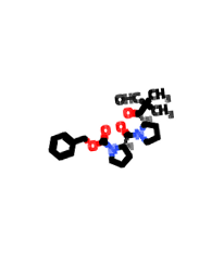 CC(C)(C=O)C(=O)[C@@H]1CCCN1C(=O)[C@@H]1CCCN1C(=O)OCc1ccccc1